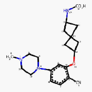 CN1CCN(c2ccc(C#N)c(OC3CC4(CC(NC(=O)O)C4)C3)c2)CC1